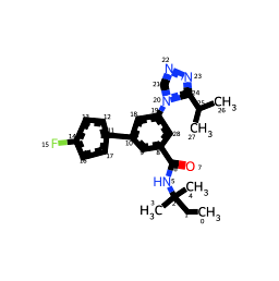 CCC(C)(C)NC(=O)c1cc(-c2ccc(F)cc2)cc(-n2cnnc2C(C)C)c1